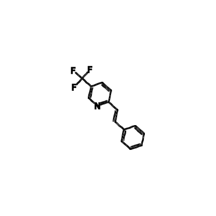 FC(F)(F)c1ccc(C=Cc2ccccc2)nc1